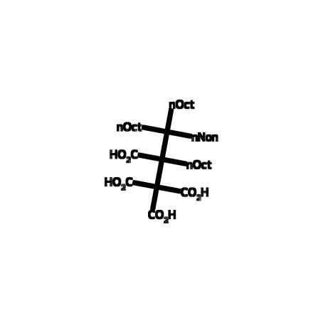 CCCCCCCCCC(CCCCCCCC)(CCCCCCCC)C(CCCCCCCC)(C(=O)O)C(C(=O)O)(C(=O)O)C(=O)O